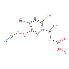 COC(=O)CC(=O)c1cc(OCC#N)c(Br)cc1F